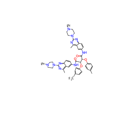 Cc1ccc(OC(C(=O)Nc2ccc3nc(N4CCN(C(C)C)CC4)nc(C)c3c2)C(Oc2ccc(C(F)(F)F)cc2)C(=O)Nc2ccc3nc(N4CCN(C(C)C)CC4)nc(C)c3c2)cc1